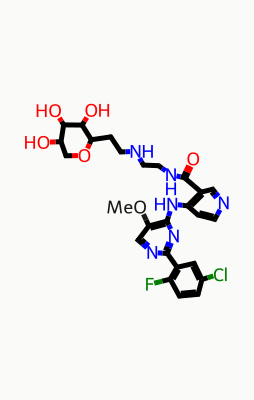 COc1cnc(-c2cc(Cl)ccc2F)nc1Nc1ccncc1C(=O)NCCNCCC1OCC(O)C(O)C1O